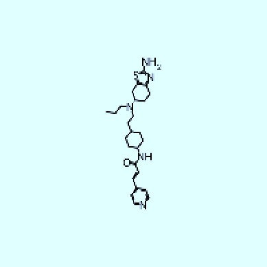 CCCN(CCC1CCC(NC(=O)/C=C/c2ccncc2)CC1)[C@H]1CCc2nc(N)sc2C1